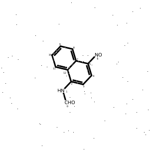 O=CNc1ccc(N=O)c2ccccc12